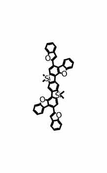 C[Si]1(C)c2cc3c(cc2-c2c1cc(-c1cc4ccccc4o1)c1c2oc2ccccc21)[Si](C)(C)c1cc(-c2cc4ccccc4o2)c2c(oc4ccccc42)c1-3